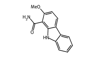 COc1ccc2c([nH]c3ccccc32)c1C(N)=O